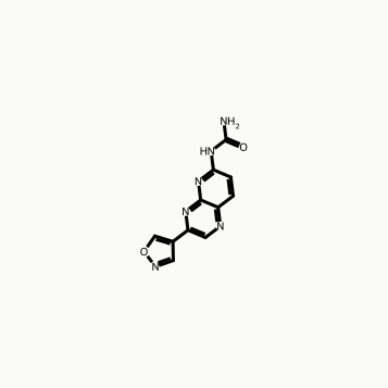 NC(=O)Nc1ccc2ncc(-c3cnoc3)nc2n1